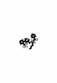 CCCCc1nc(C(=O)c2ccccc2)nn1Cc1cncc(-c2ccccc2C(=O)O)c1